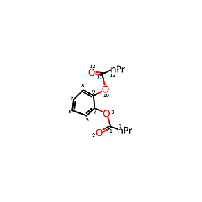 CCCC(=O)Oc1ccccc1OC(=O)CCC